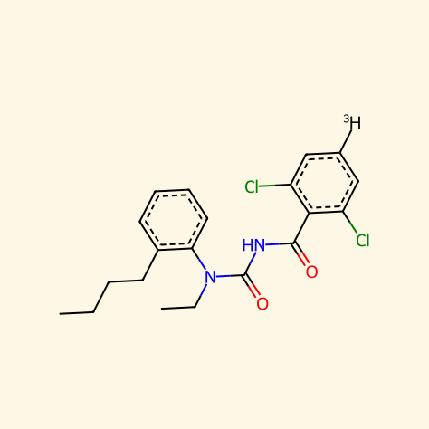 [3H]c1cc(Cl)c(C(=O)NC(=O)N(CC)c2ccccc2CCCC)c(Cl)c1